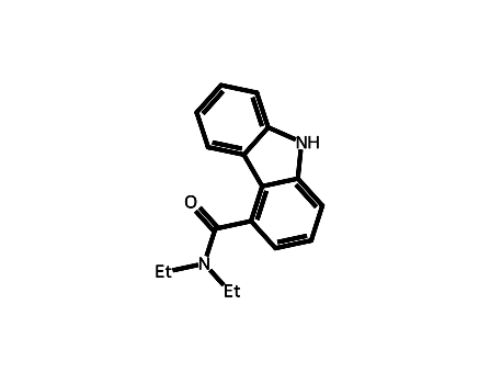 CCN(CC)C(=O)c1cccc2[nH]c3ccccc3c12